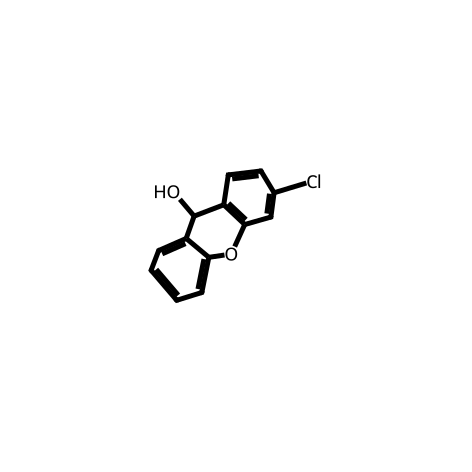 OC1c2ccccc2Oc2cc(Cl)ccc21